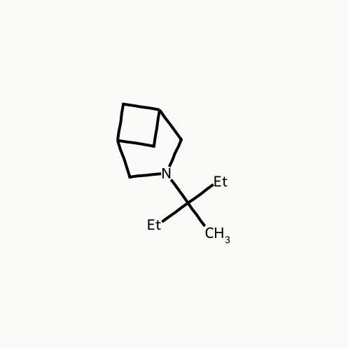 CCC(C)(CC)N1CC2CC(C2)C1